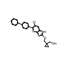 OCC1(COc2nc3nc(-c4ccc(-c5ccccc5)cc4)c(Cl)cc3[nH]2)CC1